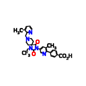 Cc1cccnc1CN1CCC2(CC1)C(=O)N(c1cnc(-c3ccc(C(=O)O)cc3)c(C)c1)C(=O)N2CC(F)(F)F